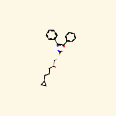 O=C(CCCC1CC1)CSc1nc(-c2ccccc2)c(-c2ccccc2)o1